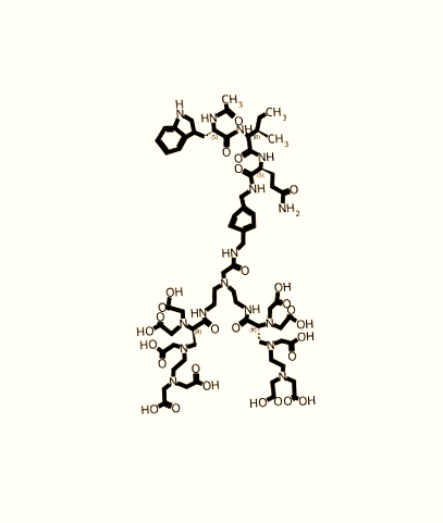 CC[C@@H](C)C(NC(=O)[C@H](CC1CNc2ccccc21)NC(C)=O)C(=O)N[C@@H](CCC(N)=O)C(=O)NCc1ccc(CNC(=O)CN(CCNC(=O)[C@@H](CN(CCN(CC(=O)O)CC(=O)O)CC(=O)O)N(CC(=O)O)CC(=O)O)CCNC(=O)[C@@H](CN(CCN(CC(=O)O)CC(=O)O)CC(=O)O)N(CC(=O)O)CC(=O)O)cc1